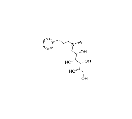 CC(C)N(CCCc1ccccc1)C[C@H](O)[C@@H](O)[C@H](O)[C@H](O)CO